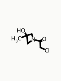 CC1(O)CN(C(=O)CCl)C1